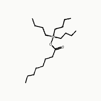 CCCCCCCC(=O)[O][Sn]([CH2]CCC)([CH2]CCC)[CH2]CCC